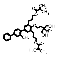 C=C(C)C(=O)OCCCc1cc(-c2ccc(-c3ccccc3)cc2C)cc(CCCOC(=O)C(=C)C)c1OCCC(CO)(CO)CCC